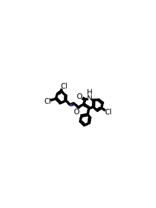 O=C(/C=C/c1cc(Cl)cc(Cl)c1)c1c(-c2ccccc2)c2cc(Cl)ccc2[nH]c1=O